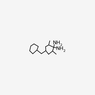 CC1CC(CC2CCCCC2)CC(C)C1(N)N